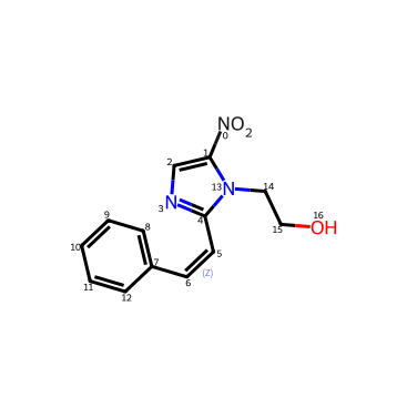 O=[N+]([O-])c1cnc(/C=C\c2ccccc2)n1CCO